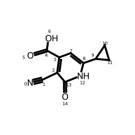 N#Cc1c(C(=O)O)cc(C2CC2)[nH]c1=O